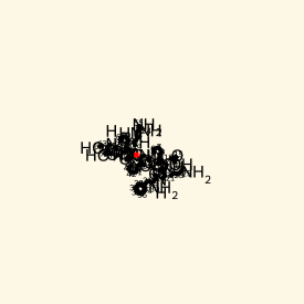 C[C@H](NC(=O)[C@@H]1CCCN1C(=O)[C@H](CC(=O)O)NC(=O)[C@H](CCCCN)NC(=O)[C@@H](N)Cc1ccccc1)C(=O)N1CCC[C@H]1C(=O)N[C@@H](CCCNC(=N)N)C(=O)N1CCC[C@H]1C(=O)N[C@@H](CO)C(=O)O